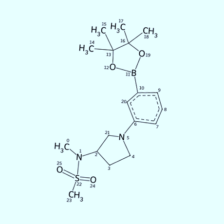 CN(C1CCN(c2cccc(B3OC(C)(C)C(C)(C)O3)c2)C1)S(C)(=O)=O